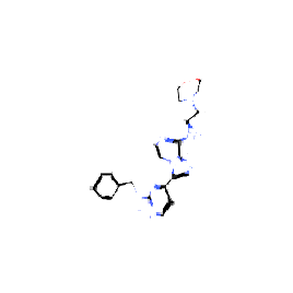 c1ccc(CNc2nccc(-c3cnc4c(NCCN5CCOCC5)nccn34)n2)cc1